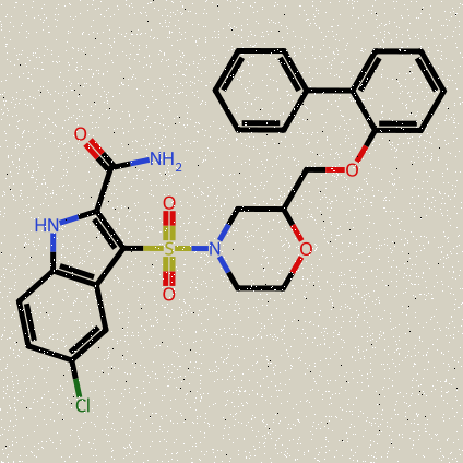 NC(=O)c1[nH]c2ccc(Cl)cc2c1S(=O)(=O)N1CCOC(COc2ccccc2-c2ccccc2)C1